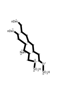 CCCCCCCCCCCCCCCCCCOS(=O)(=O)O.CCCCCCCCCCCCCCCCOS(=O)(=O)O.[NaH]